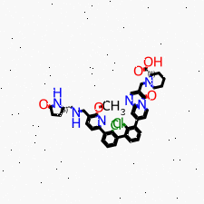 COc1nc(-c2cccc(-c3cccc(-c4ccn5c(=O)c(CN6CCCC[C@H]6C(=O)O)cnc5c4)c3Cl)c2Cl)ccc1CNC[C@@H]1CCC(=O)N1